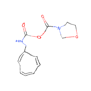 O=C(Nc1ccccc1)OC(=O)N1CCOC1